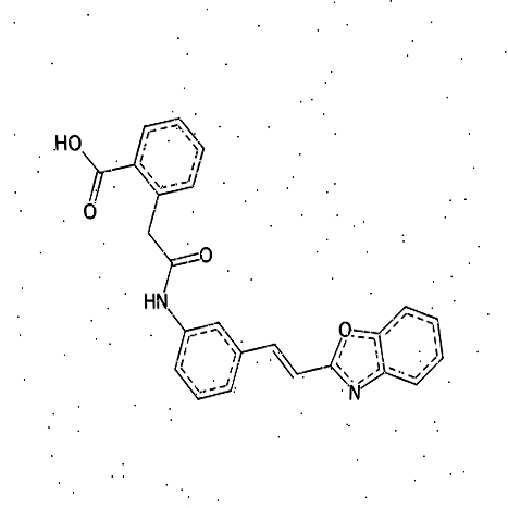 O=C(Cc1ccccc1C(=O)O)Nc1cccc(C=Cc2nc3ccccc3o2)c1